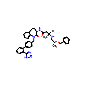 C[C@H](CNC(C)(C)CC(=O)N[C@@H]1CCc2ccccc2N(Cc2ccc(-c3ccccc3-c3nnn[nH]3)cc2)C1=O)OCc1ccccc1